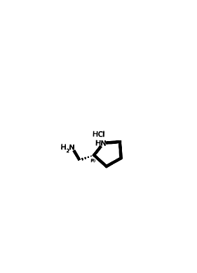 Cl.NC[C@H]1CCCN1